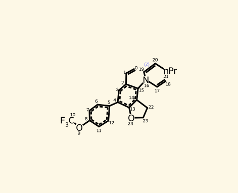 C=Cc1cc(-c2ccc(OC(F)(F)F)cc2)c2c(c1N(C=C)/C=C\CCC)CCO2